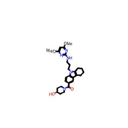 COc1cc(OC)nc(NCCCn2c3c(c4cc(C(=O)N5CCC(O)CC5)ccc42)CCCC3)n1